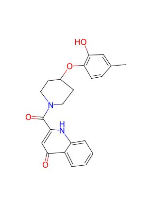 Cc1ccc(OC2CCN(C(=O)c3cc(=O)c4ccccc4[nH]3)CC2)c(O)c1